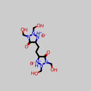 O=C1C(CCC2C(=O)N(CO)N(CO)[NH+]2[O-])[NH+]([O-])N(CO)N1CO